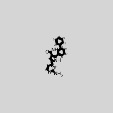 NC(=O)c1cc(-c2ccnc(N)n2)[nH]c1-c1cccc(-c2ccccc2)c1